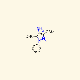 COC1=C(N)C(C=O)N(c2ccccc2)N1C